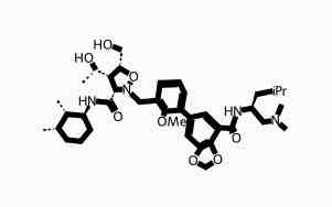 COc1c(CN2O[C@@H](CO)[C@@H]([C@H](C)O)[C@H]2C(=O)N[C@H]2CCC[C@H](C)[C@@H]2C)cccc1-c1cc2c(c(C(=O)N[C@@H](CC(C)C)CN(C)C)c1)OCO2